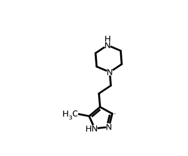 Cc1[nH]n[c]c1CCN1CCNCC1